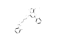 Bc1cnn2c(NCCCNS(=O)(=O)c3ccccc3F)cc(-c3ccccc3Cl)nc12